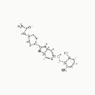 NC(=O)Oc1ccc(-c2nc3ccc(OCc4c(Cl)cccc4Cl)cc3s2)cc1